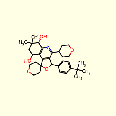 CC(C)(C)c1ccc(C2OC3(CCOCC3)c3c4c(nc(C5CCOCC5)c32)[C@H](O)C(C)(C)CC4O)cc1